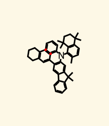 Cc1ccc2c(c1N(c1ccccc1)c1cc3c(cc1-c1ccc4c(c1)CCCC4)-c1ccccc1C3(C)C)C(C)(C)CCC2(C)C